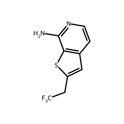 Nc1nccc2cc(CC(F)(F)F)sc12